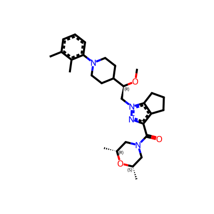 CO[C@@H](Cn1nc(C(=O)N2C[C@@H](C)O[C@@H](C)C2)c2c1CCC2)C1CCN(c2cccc(C)c2C)CC1